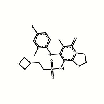 Cc1c(Nc2ccc(I)cc2F)c(NS(=O)(=O)CCC2COC2)c2n(c1=O)CCO2